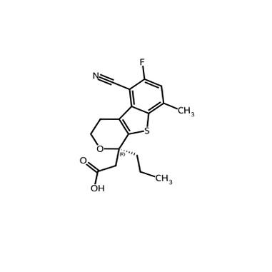 CCC[C@]1(CC(=O)O)OCCc2c1sc1c(C)cc(F)c(C#N)c21